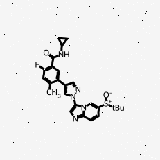 Cc1cc(F)c(C(=O)NC2CC2)cc1-c1cnn(-c2cnc3ccc([S+]([O-])C(C)(C)C)cn23)c1